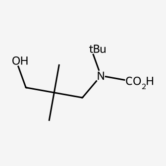 CC(C)(CO)CN(C(=O)O)C(C)(C)C